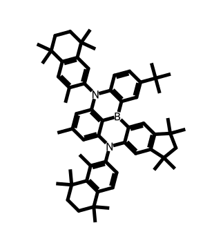 Cc1cc2c3c(c1)N(c1ccc4c(c1C)C(C)(C)CCC4(C)C)c1cc4c(cc1B3c1cc(C(C)(C)C)ccc1N2c1cc2c(cc1C)C(C)(C)CCC2(C)C)C(C)(C)CC4(C)C